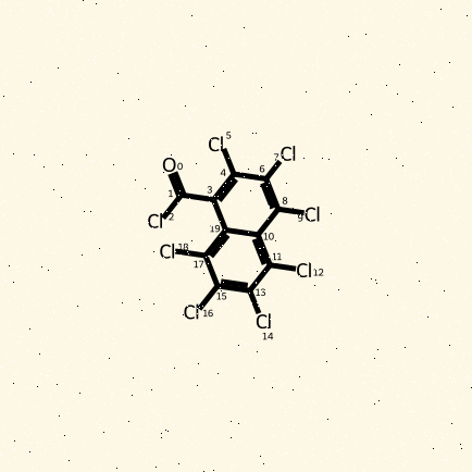 O=C(Cl)c1c(Cl)c(Cl)c(Cl)c2c(Cl)c(Cl)c(Cl)c(Cl)c12